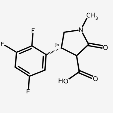 CN1C[C@@H](c2cc(F)cc(F)c2F)C(C(=O)O)C1=O